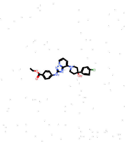 CCOC(=O)c1ccc(Nc2nc3c(N4CCC(O)(c5ccc(Cl)cc5)CC4)cccn3n2)cc1